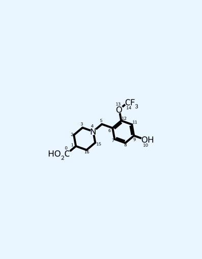 O=C(O)C1CCN(Cc2ccc(O)cc2OC(F)(F)F)CC1